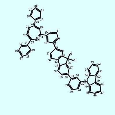 CC1(C)c2cc(-c3cccc(C4=NC(c5ccccc5)=C=CC(c5ccccc5)=C4)c3)ccc2-c2ccc(-c3cccc(-n4c5ccccc5c5ccccc54)c3)cc21